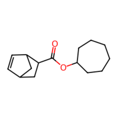 O=C(OC1CCCCCC1)C1CC2C=CC1C2